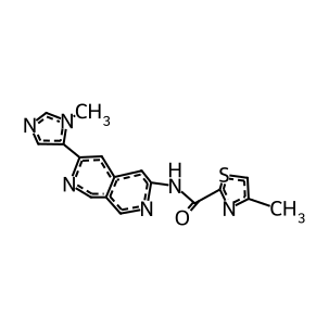 Cc1csc(C(=O)Nc2cc3cc(-c4cncn4C)ncc3cn2)n1